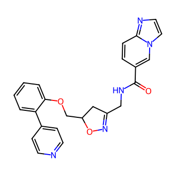 O=C(NCC1=NOC(COc2ccccc2-c2ccncc2)C1)c1ccc2nccn2c1